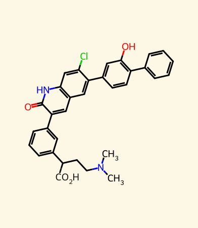 CN(C)CCC(C(=O)O)c1cccc(-c2cc3cc(-c4ccc(-c5ccccc5)c(O)c4)c(Cl)cc3[nH]c2=O)c1